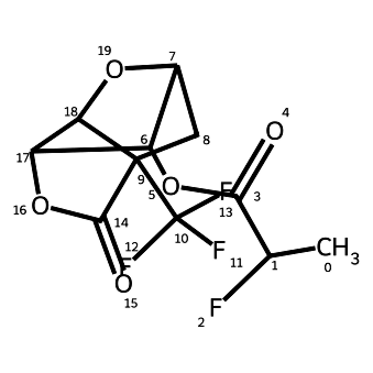 CC(F)C(=O)OC1C2CC3(C(F)(F)F)C(=O)OC1C3O2